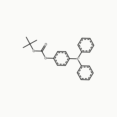 CC(C)(C)OC(=O)Oc1ccc([S+](c2ccccc2)c2ccccc2)cc1